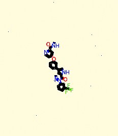 CNC(=O)c1cc(Oc2cccc(-c3c[nH]c(C(=O)N(c4cccc(C(F)(F)F)c4)N(C)C)c3)c2)ccn1